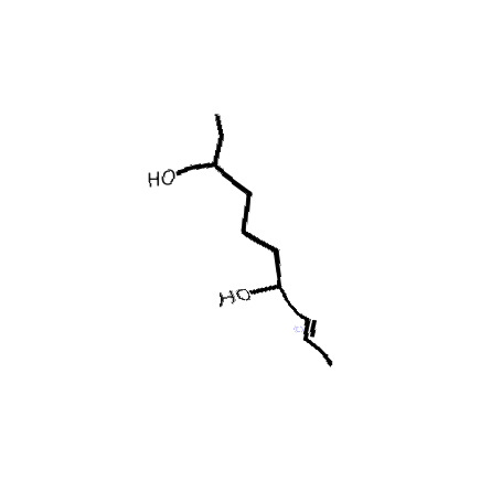 C/C=C/C(O)CCCC(C)O